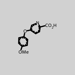 COc1ccc(Oc2ccc(C(=O)O)nc2)cc1